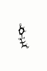 CC(C)(C(=O)Nc1ccc(Cl)cc1)/C(F)=C/Br